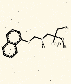 CCOC(=O)C(CC(C)C)(C[PH](=O)CSc1cccc2ccccc12)OCC